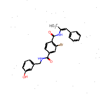 O=C(O)/C(=C/c1ccccc1)NC(=O)c1ccc(C(=O)NCc2cccc(O)c2)cc1Br